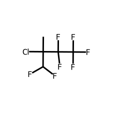 CC(Cl)(C(F)F)C(F)(F)C(F)(F)F